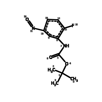 CC(C)(C)OC(=O)Nc1cc(N=O)ccc1F